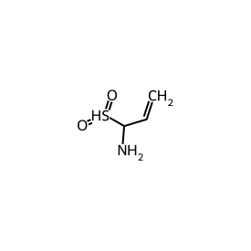 C=CC(N)[SH](=O)=O